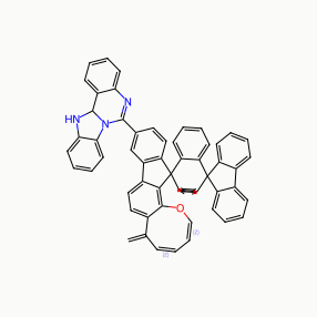 C=C1/C=C\C=C/Oc2c1ccc1c2C2(c3ccc(C4=Nc5ccccc5C5Nc6ccccc6N45)cc3-1)c1ccccc1C1(c3ccccc3-c3ccccc31)c1ccccc12